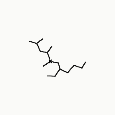 CCCCC(CC)CN(C)C(C)CC(C)C